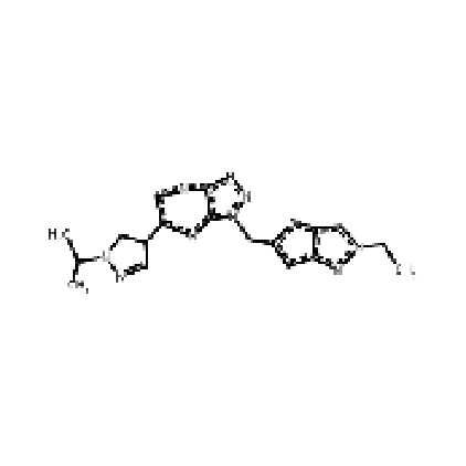 CCn1cc2sc(Cn3nnc4ncc(C5C=NN(C(C)C)C5)nc43)cc2n1